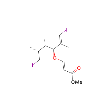 COC(=O)/C=C/O[C@H](/C(C)=C/I)[C@@H](C)[C@@H](C)CI